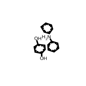 Nc1ccccc1.Oc1ccc(O)cc1.c1ccccc1